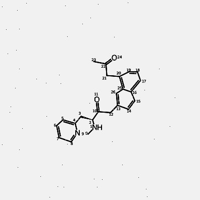 CN[C@@H](Cc1ccccn1)C(=O)Cc1ccc2cccc(CC(C)=O)c2c1